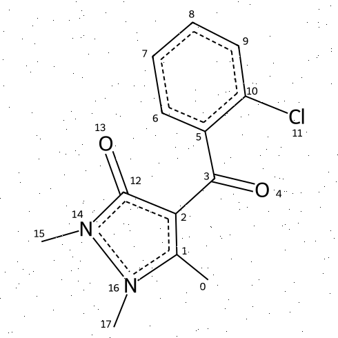 Cc1c(C(=O)c2ccccc2Cl)c(=O)n(C)n1C